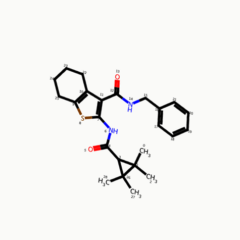 CC1(C)C(C(=O)Nc2sc3c(c2C(=O)NCc2ccccc2)CCCC3)C1(C)C